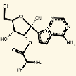 CC(C)[C@H](N)C(=O)O[C@@H]1[C@H](O)[C@@H](CO)O[C@@]1(C#N)c1ccc2c(N)ncnn12